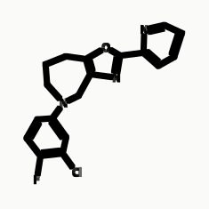 Fc1ccc(N2CCCc3oc(-c4ccccn4)nc3C2)cc1Cl